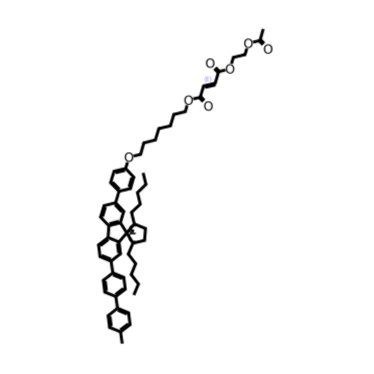 CCCCCC12CCC(CCCCC)(CC1)C21c2cc(-c3ccc(OCCCCCCCOC(=O)/C=C/C(=O)OCCOC(C)=O)cc3)ccc2-c2ccc(-c3ccc(-c4ccc(C)cc4)cc3)cc21